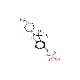 CN1CCN(C2Oc3ccc(CNS(=O)(=O)O)cc3C2(C)C)CC1